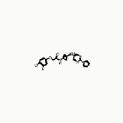 O=C(COc1ccc(Cl)c(F)c1)NC12CC(Nc3cnc(-n4cccc4)nc3)(C1)C2